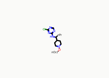 CCCCCCCCON1CCC(C(CCC)Nc2ncnc(Cl)n2)CC1